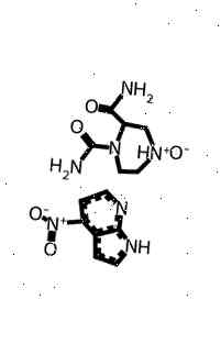 NC(=O)C1C[NH+]([O-])CCN1C(N)=O.O=[N+]([O-])c1ccnc2[nH]ccc12